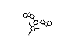 N#Cc1cc(C#N)c(-c2cc(-c3ccc4c(c3)oc3ccccc34)cc(-c3ccc4oc5ccccc5c4c3)c2)c(C#N)c1